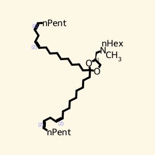 CCCCC/C=C\C/C=C\CCCCCCCCC1(CCCCCCCC/C=C\C/C=C\CCCCC)OC[C@H](CN(C)CCCCCC)O1